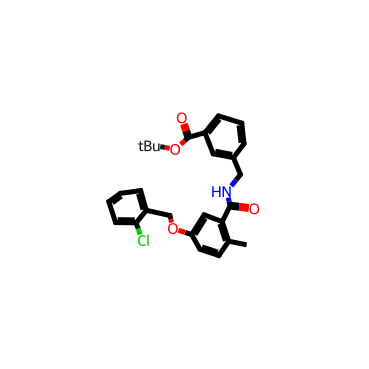 Cc1ccc(OCc2ccccc2Cl)cc1C(=O)NCc1cccc(C(=O)OC(C)(C)C)c1